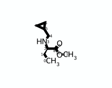 CC[C@@H](NCC1CC1)C(=O)OC